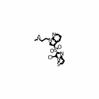 CN(C)CCn1cc(S(=O)(=O)c2nc3ccsn3c2Cl)c2cccnc21